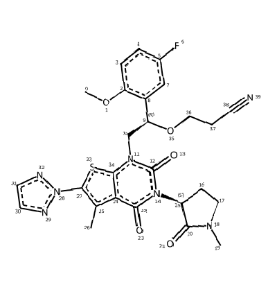 COc1ccc(F)cc1[C@H](Cn1c(=O)n([C@H]2CCN(C)C2=O)c(=O)c2c(C)c(-n3nccn3)sc21)OCCC#N